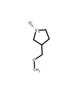 COCC1CC[S@@+]([O-])C1